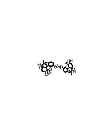 CN1CC[C@]23c4c5ccc(OSSOc6ccc7c8c6O[C@H]6[C@@H](O)C=C[C@H]9[C@@H](C7)N(C)CC[C@@]896)c4O[C@H]2[C@@H](O)C=C[C@H]3[C@H]1C5